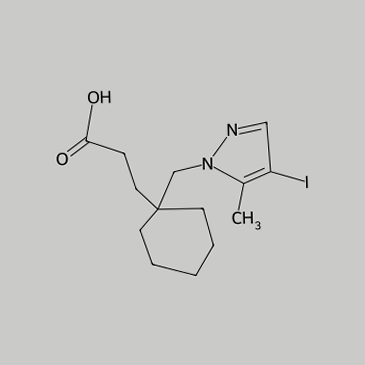 Cc1c(I)cnn1CC1(CCC(=O)O)CCCCC1